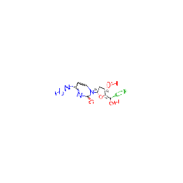 Nc1ccn([C@H]2C[C@H](O)[C@@H](C(O)Cl)O2)c(=O)n1